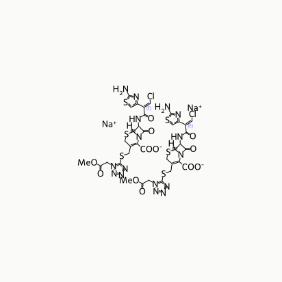 COC(=O)Cn1nnnc1SCC1=C(C(=O)[O-])N2C(=O)C(NC(=O)/C(=C/Cl)c3csc(N)n3)[C@H]2SC1.COC(=O)Cn1nnnc1SCC1=C(C(=O)[O-])N2C(=O)C(NC(=O)/C(=C/Cl)c3csc(N)n3)[C@H]2SC1.[Na+].[Na+]